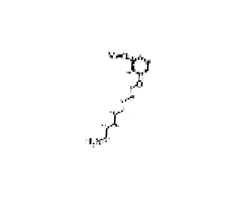 COc1cccc(OCCCCCCCCN)c1